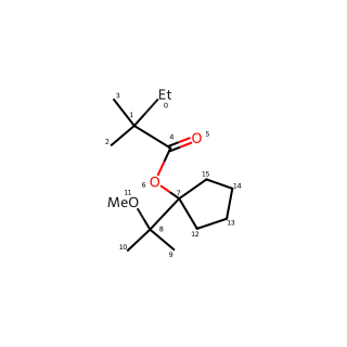 CCC(C)(C)C(=O)OC1(C(C)(C)OC)CCCC1